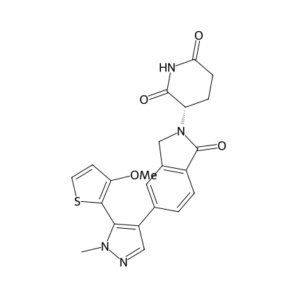 COc1ccsc1-c1c(-c2ccc3c(c2)CN([C@H]2CCC(=O)NC2=O)C3=O)cnn1C